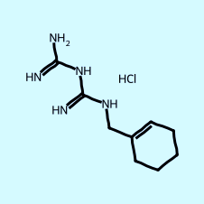 Cl.N=C(N)NC(=N)NCC1=CCCCC1